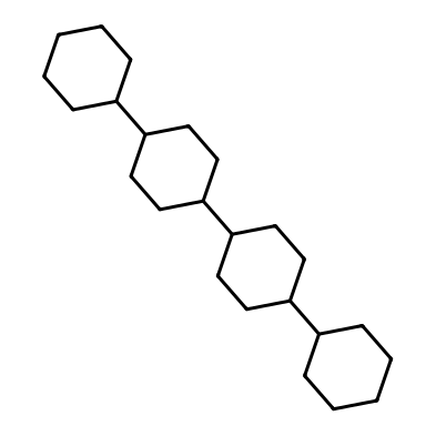 C1CCC(C2CCC(C3CCC(C4CCCCC4)CC3)CC2)CC1